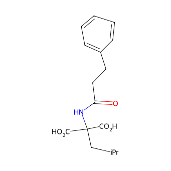 CC(C)CC(NC(=O)CCc1ccccc1)(C(=O)O)C(=O)O